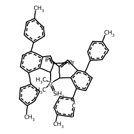 Cc1ccc(-c2ccc(-c3ccc(C)cc3)c3c2C=C(C(C)C)[CH]3[Zr]([CH3])([CH3])(=[SiH2])[CH]2C(C(C)C)=Cc3c(-c4ccc(C)cc4)ccc(-c4ccc(C)cc4)c32)cc1